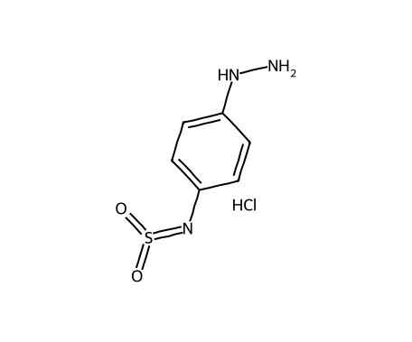 Cl.NNc1ccc(N=S(=O)=O)cc1